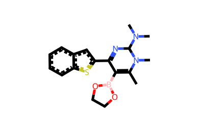 CC1=C(B2OCCO2)C(c2cc3ccccc3s2)=NC(N(C)C)N1C